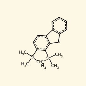 C[Si](C)(C)c1ccc2c(c1[Si](C)(C)C)[C]c1ccccc1-2